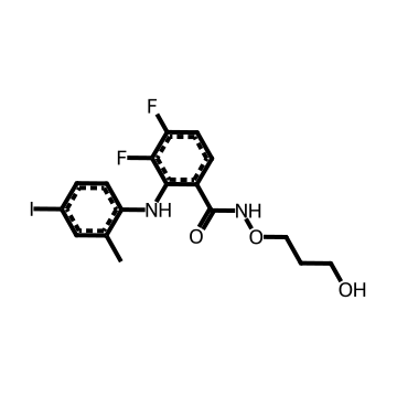 Cc1cc(I)ccc1Nc1c(C(=O)NOCCCO)ccc(F)c1F